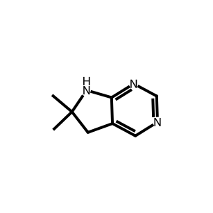 CC1(C)Cc2cncnc2N1